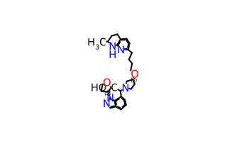 CC1CCc2ccc(CCCCO[C@@H]3CCN(C(C(=O)O)c4cccc5cnn([C@H]6CCOC6)c45)C3)nc2N1